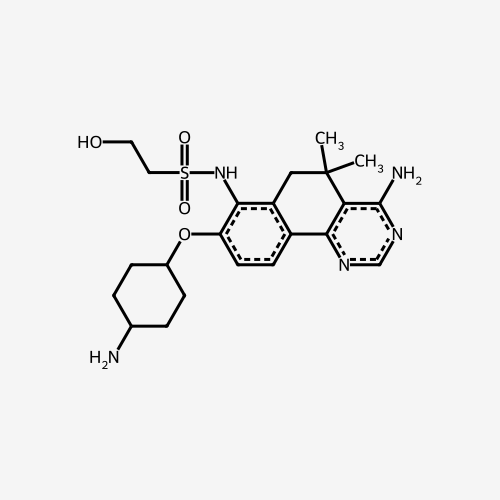 CC1(C)Cc2c(ccc(OC3CCC(N)CC3)c2NS(=O)(=O)CCO)-c2ncnc(N)c21